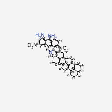 Nc1cc([N+](=O)[O-])cc2c(CN3CC4CCC5C6CCC7C8CCCC9CCCC(C%10CCC(C%11CCC(C3)C4C5%11)C6C7%10)C98)c3cc([N+](=O)[O-])ccc3c(N)c12